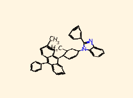 Cc1ccc2c(-c3ccccc3)c3ccccc3c(C3C=CC(n4c(-c5ccccc5)nc5ccccc54)CC3C)c2c1